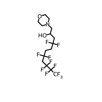 OC(CN1CCOCC1)CC(F)(F)CCC(F)(F)CC(F)(F)C(F)(F)C(F)(F)F